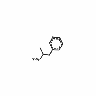 CC[CH]C(C)Cc1ccccc1